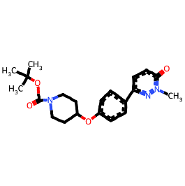 Cn1nc(-c2ccc(OC3CCN(C(=O)OC(C)(C)C)CC3)cc2)ccc1=O